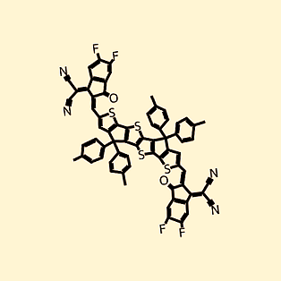 Cc1ccc(C2(c3ccc(C)cc3)c3cc(/C=C4\C(=O)c5cc(F)c(F)cc5C4=C(C#N)C#N)sc3-c3sc4c5c(sc4c32)-c2sc(/C=C3\C(=O)c4cc(F)c(F)cc4C3=C(C#N)C#N)cc2C5(c2ccc(C)cc2)c2ccc(C)cc2)cc1